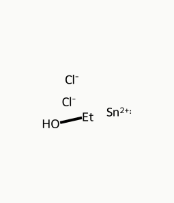 CCO.[Cl-].[Cl-].[Sn+2]